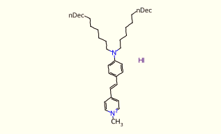 CCCCCCCCCCCCCCCCN(CCCCCCCCCCCCCCCC)c1ccc(C=Cc2cc[n+](C)cc2)cc1.I